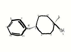 C[C@]1(O)CC[C@H](c2ccccc2)CC1